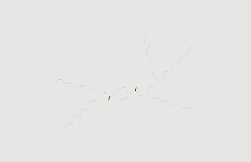 CCCCCCCCCN(CCCCCCCCC)CCN(CCCCCCCCC)CC(=O)N1CCN(C(=O)CN(CCCCCCCC)CCCCCCCCC)CC1